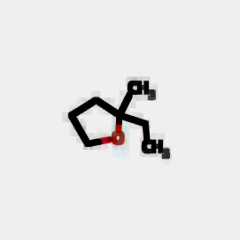 CCC1(C)CCCO1